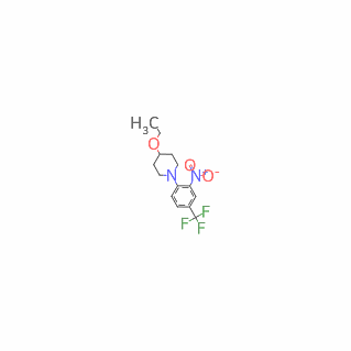 CCOC1CCN(c2ccc(C(F)(F)F)cc2[N+](=O)[O-])CC1